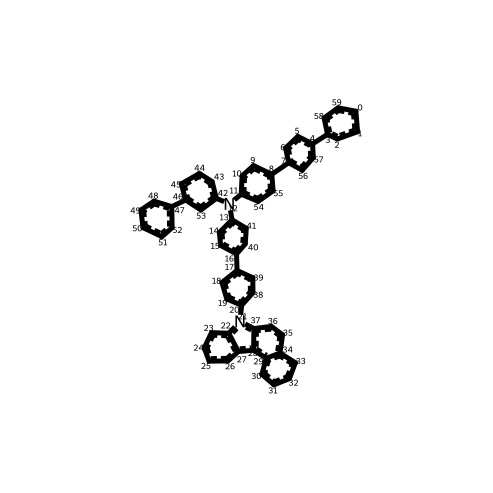 c1ccc(-c2ccc(-c3ccc(N(c4ccc(-c5ccc(-n6c7ccccc7c7c8ccccc8ccc76)cc5)cc4)c4cccc(-c5ccccc5)c4)cc3)cc2)cc1